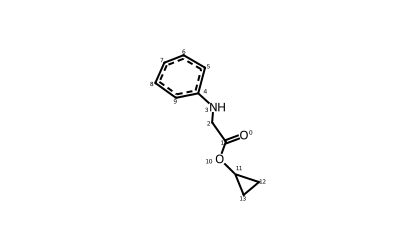 O=C(CNc1ccccc1)OC1CC1